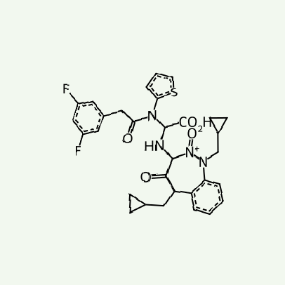 O=C(O)C(NC1C(=O)C(CC2CC2)c2ccccc2N(CC2CC2)[N+]1=O)N(C(=O)Cc1cc(F)cc(F)c1)c1cccs1